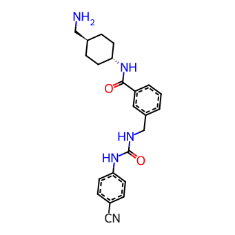 N#Cc1ccc(NC(=O)NCc2cccc(C(=O)N[C@H]3CC[C@H](CN)CC3)c2)cc1